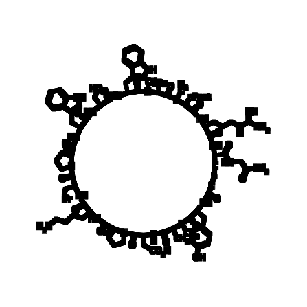 CCCCC[C@H]1C(=O)N[C@@H](CCCNC(=N)N)C(=O)N[C@H](C(=O)NCC(N)=O)CSCC(=O)N[C@@H](Cc2ccc(O)cc2)C(=O)N(C)[C@@H](C)C(=O)N[C@@H](CC(=O)O)C(=O)N2CCC[C@H]2C(=O)N[C@@H](CCCCN)C(=O)N[C@@H](CC(C)C)C(=O)N2CCC[C@H]2C(=O)N[C@@H](Cc2c[nH]c3ccccc23)C(=O)N[C@@H](CO)C(=O)N[C@@H](Cc2c[nH]c3ccccc23)C(=O)N(C)[C@@H](CCCC)C(=O)N1C